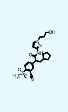 CS(=O)(=O)c1ccc(C(CC2CCCC2)C(=O)Nc2ccn(CCCO)n2)cc1C#N